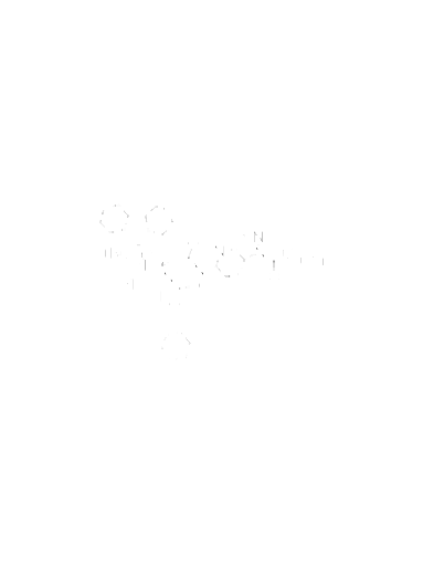 [2H]C([2H])([2H])N(C(=O)OCc1ccccc1)[C@H](CO[Si](c1ccccc1)(c1ccccc1)C(C)(C)C)C(=O)Nc1ccc2c(cnn2C(=O)OC(C)(C)C)n1